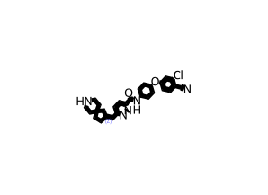 N#Cc1ccc(O[C@H]2CC[C@H](NC(=O)c3ccc(/C=C4/CCC5(CCNCC5)C4)nn3)CC2)cc1Cl